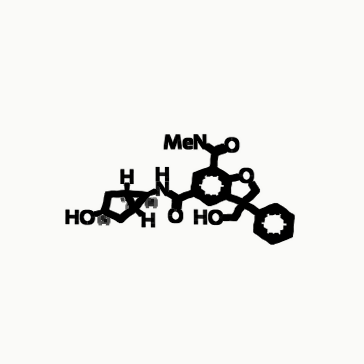 CNC(=O)c1cc(C(=O)N[C@H]2[C@@H]3C[C@@H](O)C[C@@H]32)cc2c1OCC2(CO)c1ccccc1